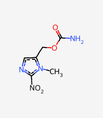 Cn1c(COC(N)=O)cnc1[N+](=O)[O-]